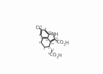 O=C(O)C[C@@H]1CCc2cc(Cl)cc3[nH]c(C(=O)O)c1c23